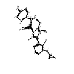 Cc1c(OC2CC2)cccc1-c1c(C)c2cnn(-c3ccc(F)cn3)c(=O)n2c1C